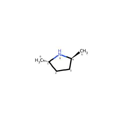 C[C@H]1CC[C@H](C)N1